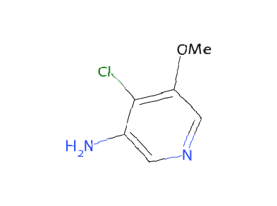 COc1cncc(N)c1Cl